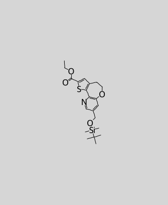 CCOC(=O)c1cc2c(s1)-c1ncc(CO[Si](C)(C)C(C)(C)C)cc1OCC2